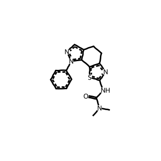 CN(C)C(=O)Nc1nc2c(s1)-c1c(cnn1-c1ccccc1)CC2